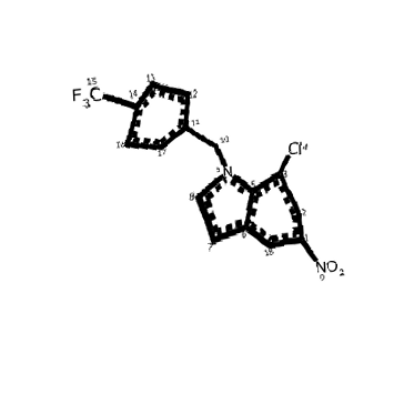 O=[N+]([O-])c1cc(Cl)c2c(ccn2Cc2ccc(C(F)(F)F)cc2)c1